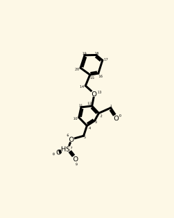 O=Cc1cc(CO[SH](=O)=O)ccc1OCc1ccccc1